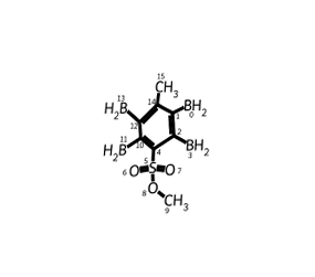 Bc1c(B)c(S(=O)(=O)OC)c(B)c(B)c1C